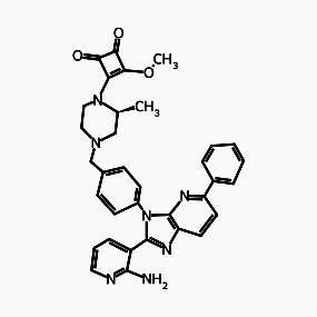 COc1c(N2CCN(Cc3ccc(-n4c(-c5cccnc5N)nc5ccc(-c6ccccc6)nc54)cc3)C[C@@H]2C)c(=O)c1=O